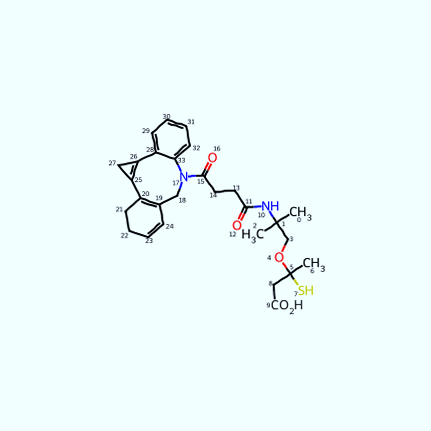 CC(C)(COC(C)(S)CC(=O)O)NC(=O)CCC(=O)N1CC2=C(CCC=C2)C2=C(C2)c2ccccc21